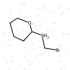 BrC[SiH2]C1CCCCO1